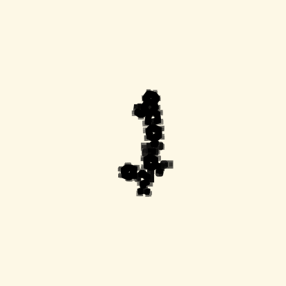 COC1(Cc2ccccc2-c2cccs2)CCN(c2ccc(C(=O)NS(=O)(=O)c3ccc(N[C@H](CCN(C)C)CSc4ccccc4)c([N+](=O)O)c3)cc2)CC1